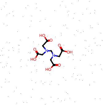 O=C(O)CN(CC(=O)O)CN(CC(=O)O)CC(=O)O